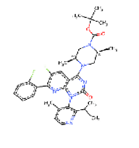 Cc1ccnc(C(C)C)c1-n1c(=O)nc(N2C[C@H](C)N(C(=O)OC(C)(C)C)C[C@@H]2C)c2cc(F)c(-c3ccccc3F)nc21